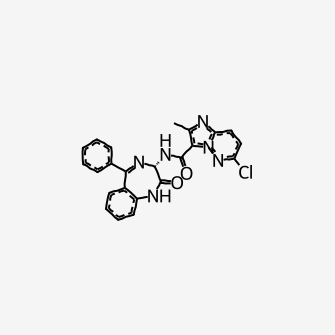 Cc1nc2ccc(Cl)nn2c1C(=O)N[C@H]1N=C(c2ccccc2)c2ccccc2NC1=O